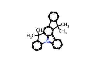 CC1(C)c2ccccc2-c2cc3c4c(c21)c1ccccc1n4-c1ccccc1C3(C)C